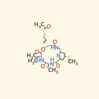 C/C=C1\NC(=O)c2cc(SC)cc(n2)CNC(=O)C[C@@H](/C=C/CCSC(C)=O)OC(=O)[C@H](C(C)C)NC1=O